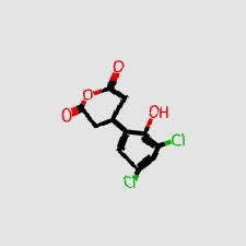 O=C1CC(c2cc(Cl)cc(Cl)c2O)CC(=O)O1